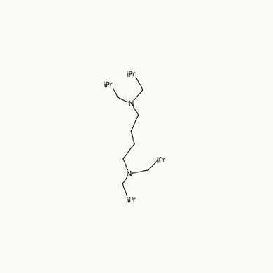 CC(C)CN(CCCCN(CC(C)C)CC(C)C)CC(C)C